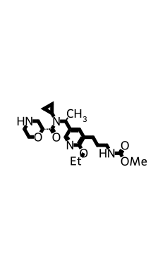 CCOc1ncc([C@@H](C)N(C(=O)[C@H]2CNCCO2)C2CC2)cc1CCCNC(=O)OC